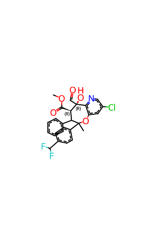 COC(=O)[C@@H]1C(c2ccccc2)C(C)(c2ccc(C(F)F)cc2)Oc2cc(Cl)cnc2[C@@]1(O)C=O